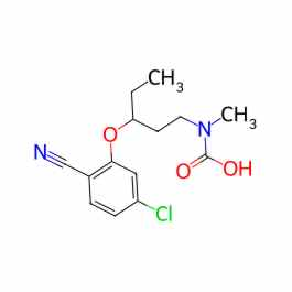 CCC(CCN(C)C(=O)O)Oc1cc(Cl)ccc1C#N